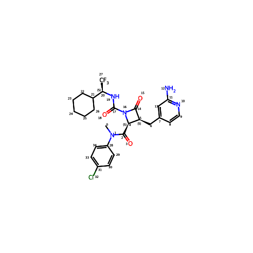 CN(C(=O)[C@@H]1[C@H](Cc2ccnc(N)c2)C(=O)N1C(=O)N[C@@H](C1CCCCC1)C(F)(F)F)c1ccc(Cl)cc1